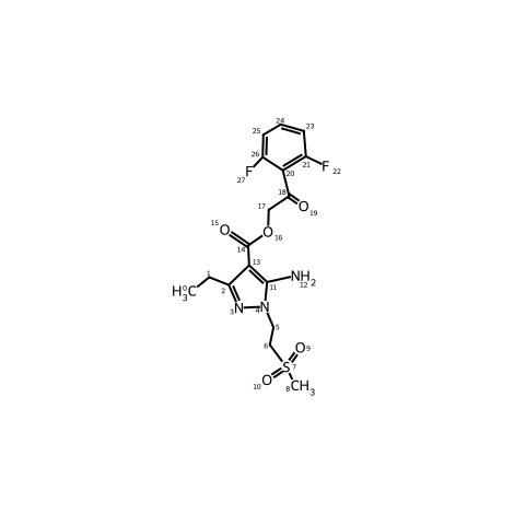 CCc1nn(CCS(C)(=O)=O)c(N)c1C(=O)OCC(=O)c1c(F)cccc1F